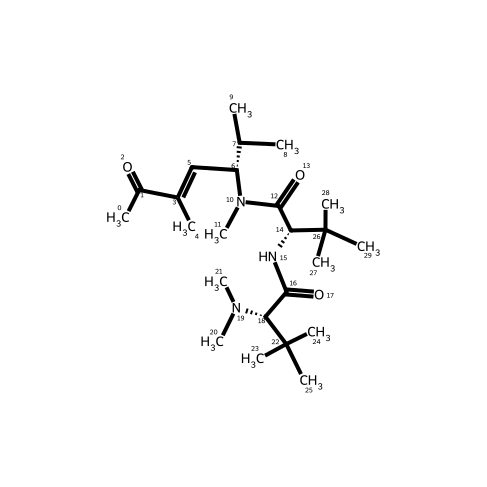 CC(=O)/C(C)=C/[C@H](C(C)C)N(C)C(=O)[C@@H](NC(=O)[C@@H](N(C)C)C(C)(C)C)C(C)(C)C